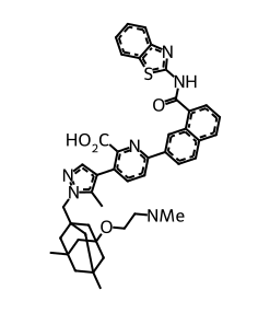 CNCCOC12CC3(C)CC(C)(CC(Cn4ncc(-c5ccc(-c6ccc7cccc(C(=O)Nc8nc9ccccc9s8)c7c6)nc5C(=O)O)c4C)(C3)C1)C2